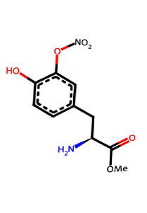 COC(=O)[C@@H](N)Cc1ccc(O)c(O[N+](=O)[O-])c1